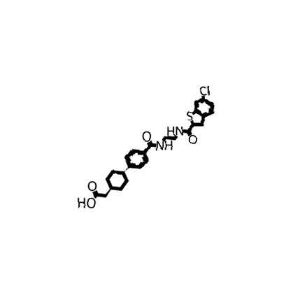 O=C(O)C[C@H]1CC[C@H](c2ccc(C(=O)NCCNC(=O)C3Cc4ccc(Cl)cc4S3)cc2)CC1